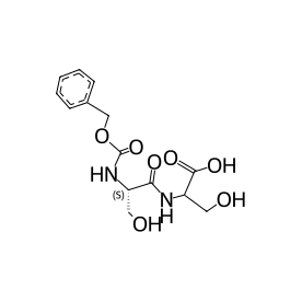 O=C(N[C@@H](CO)C(=O)NC(CO)C(=O)O)OCc1ccccc1